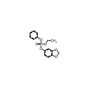 CCOP(=O)(Oc1ccccc1)Oc1ccc2c(c1)OCO2